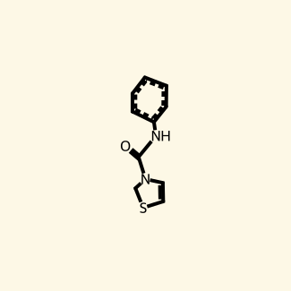 O=C(Nc1ccccc1)N1C=CSC1